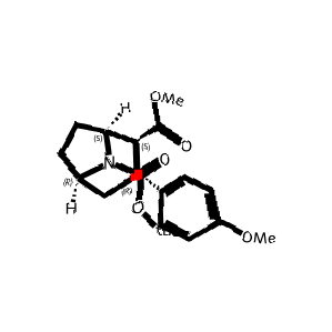 COC(=O)[C@H]1[C@H](c2ccc(OC)cc2)C[C@H]2CC[C@@H]1N2C(=O)OC(C)(C)C